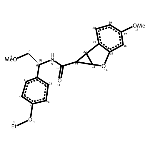 CCOc1ccc([C@H](COC)NC(=O)C2C3Oc4cc(OC)ccc4C32)cc1